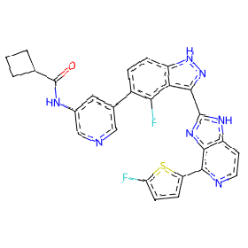 O=C(Nc1cncc(-c2ccc3[nH]nc(-c4nc5c(-c6ccc(F)s6)nccc5[nH]4)c3c2F)c1)C1CCC1